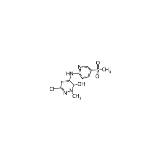 CN1N=C(Cl)C=C(Nc2ccc(S(C)(=O)=O)cn2)C1O